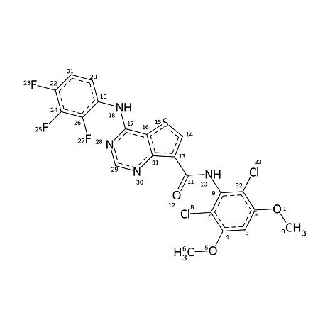 COc1cc(OC)c(Cl)c(NC(=O)c2csc3c(Nc4ccc(F)c(F)c4F)ncnc23)c1Cl